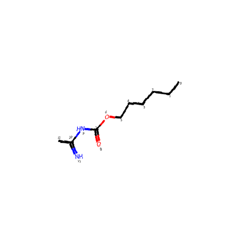 CCCCCCOC(=O)NC(C)=N